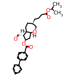 CC(C)OC(=O)CCC[C@@H]1CC[C@@H]2[C@@H](C=O)[C@H](OC(=O)c3ccc(-c4ccccc4)cc3)C[C@@H]2OC1